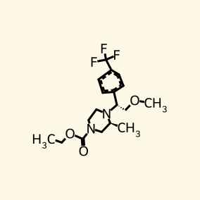 CCOC(=O)N1CCN([C@@H](COC)c2ccc(C(F)(F)F)cc2)[C@@H](C)C1